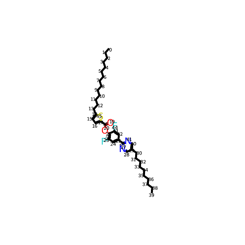 CCCCCCCCCCCCCCc1ccc(C(=O)Oc2c(F)cc(-c3ncc(CCCCCCCCCC)cn3)cc2F)s1